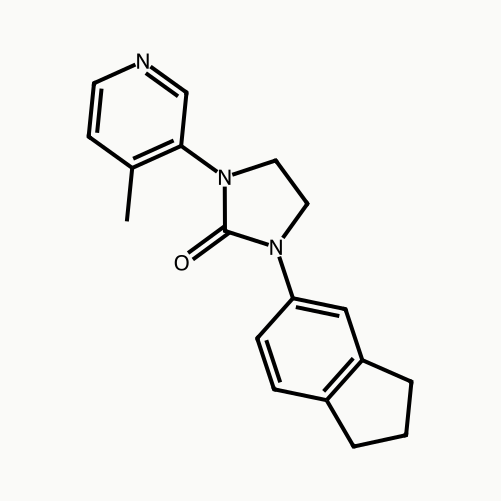 Cc1ccncc1N1CCN(c2ccc3c(c2)CCC3)C1=O